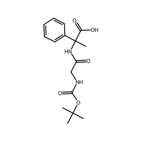 CC(C)(C)OC(=O)NCC(=O)NC(C)(C(=O)O)c1ccccc1